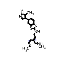 C=N/C=C\C(=C/CNc1nc2ccc(-c3cn[nH]c3C)cc2s1)CNC